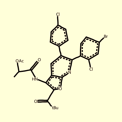 CC(=O)OC(C)C(=O)Nc1c(C(=O)C(C)(C)C)oc2nc(-c3ccc(Br)cc3Cl)c(-c3ccc(Cl)cc3)cc12